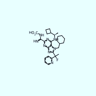 C[C@@H](Nc1nc(C(=N)NC(=O)O)nc2nc(C(C)(F)c3ccccn3)n(CC3CCCCC3)c12)C1CCC1